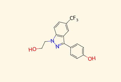 OCCn1nc(-c2ccc(O)cc2)c2cc(C(F)(F)F)ccc21